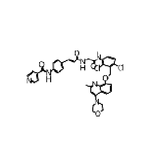 Cc1cc(N2CCOCC2)c2cccc(OCc3c(Cl)ccc(N(C)C(=O)CNC(=O)C=Cc4ccc(NC(=O)c5ccncc5)cc4)c3Cl)c2n1